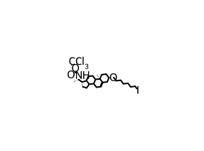 C[C@H](NC(=O)OCC(Cl)(Cl)Cl)[C@H]1CCC2C3CC=C4C[C@@H](OCCCCCCI)CC[C@]4(C)C3CC[C@@]21C